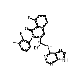 CC[C@H](Nc1ncnc2[nH]cnc12)c1cc2cccc(F)c2c(=O)n1-c1cccc(F)c1F